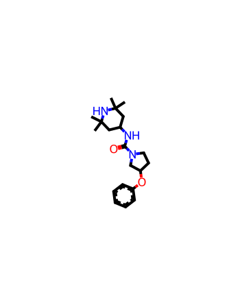 CC1(C)CC(NC(=O)N2CCC(Oc3ccccc3)C2)CC(C)(C)N1